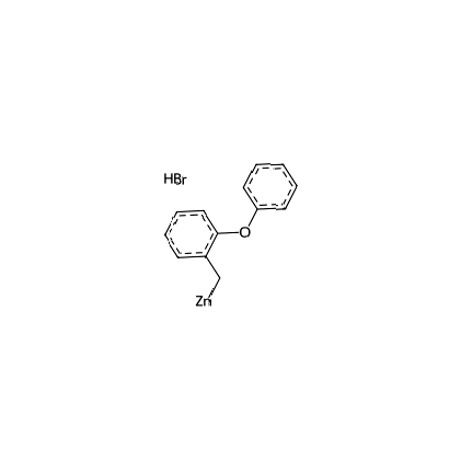 Br.[Zn][CH2]c1ccccc1Oc1ccccc1